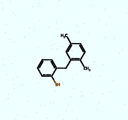 Cc1ccc(C)c(Cc2ccccc2S)c1